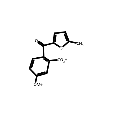 COc1ccc(C(=O)c2ccc(C)s2)c(C(=O)O)c1